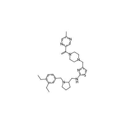 C=C(c1cnc(C)cn1)N1CCN(Cc2csc(NCC3CCCN3Cc3ccc(CC)c(CC)c3)n2)CC1